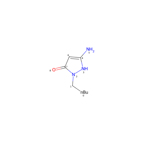 CCCCCn1[nH]c(N)cc1=O